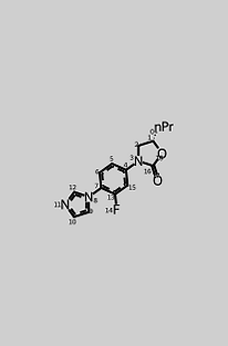 CCC[C@H]1CN(c2ccc(-n3ccnc3)c(F)c2)C(=O)O1